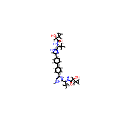 CN/C=C(\N=C\C(NC(=O)C(C)(O)C1(C)CC1)C(C)(C)C)c1ccc(-c2ccc(-c3c[nH]c([C@@H](NC(=O)C(C)(O)C4(C)CC4)C(C)(C)C)n3)cc2)cc1